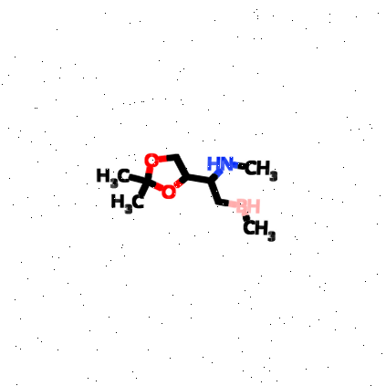 CBCC(NC)C1COC(C)(C)O1